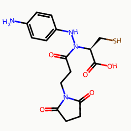 Nc1ccc(NN(C(=O)CCN2C(=O)CCC2=O)[C@@H](CS)C(=O)O)cc1